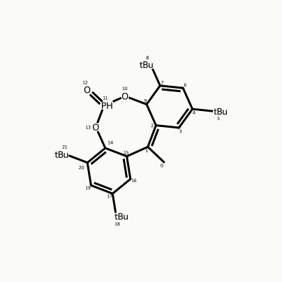 C/C1=C2\C=C(C(C)(C)C)C=C(C(C)(C)C)C2O[PH](=O)Oc2c1cc(C(C)(C)C)cc2C(C)(C)C